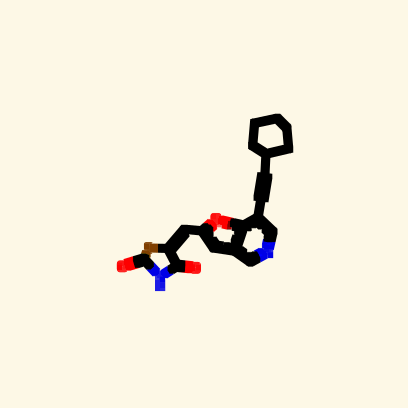 O=C1NC(=O)/C(=C\c2cc3cncc(C#CC4CCCCC4)c3o2)S1